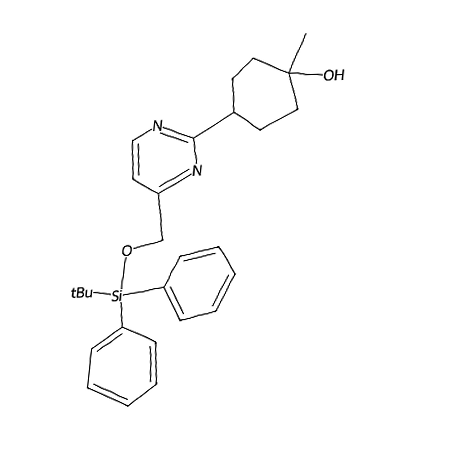 CC1(O)CCC(c2nccc(CO[Si](c3ccccc3)(c3ccccc3)C(C)(C)C)n2)CC1